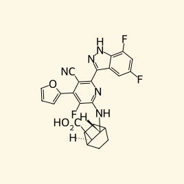 N#Cc1c(-c2n[nH]c3c(F)cc(F)cc23)nc(N[C@@H]2C3CCC(CC3)[C@H]2C(=O)O)c(F)c1-c1ccco1